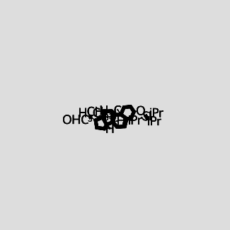 CC(C=O)[C@H]1CC[C@H]2[C@@H]3CC=C4C[C@@H](O[Si](C(C)C)(C(C)C)C(C)C)CC[C@]4(C)[C@H]3CC[C@]12C